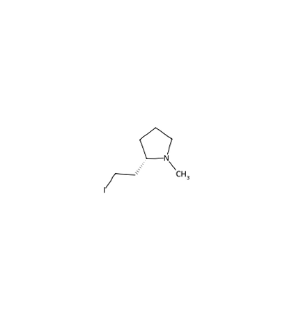 CN1CCC[C@H]1CCI